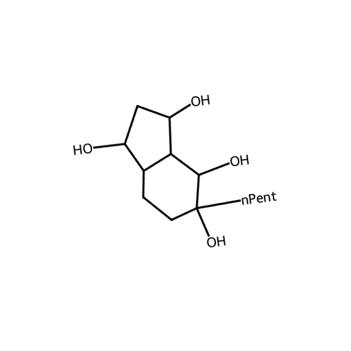 CCCCCC1(O)CCC2C(O)CC(O)C2C1O